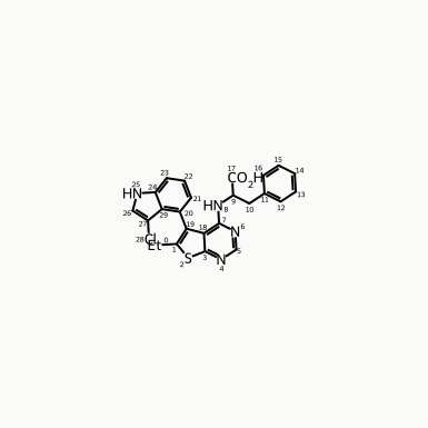 CCc1sc2ncnc(NC(Cc3ccccc3)C(=O)O)c2c1-c1cccc2[nH]cc(Cl)c12